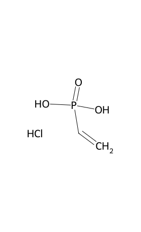 C=CP(=O)(O)O.Cl